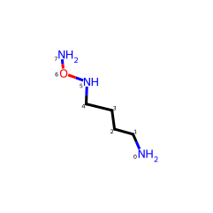 NCCCCNON